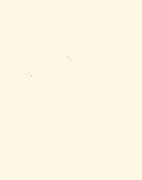 CCOC(C)c1cccc2[nH]c3cnc(OC(=O)O)c(COC)c3c12